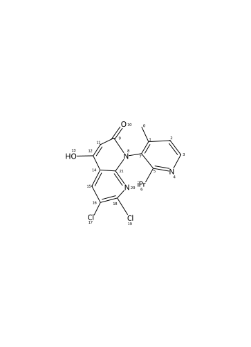 Cc1ccnc(C(C)C)c1-n1c(=O)cc(O)c2cc(Cl)c(Cl)nc21